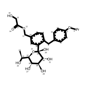 CC(C)Oc1ccc(Cc2ccc(COC(=O)CO)cc2[C@@]2(O)O[C@H]([C@H](C)O)[C@@H](O)[C@H](O)[C@H]2O)cc1